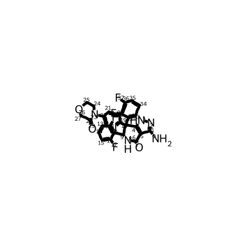 Nc1n[nH]c2c1C(=O)NC(c1c(F)cccc1F)C2(c1ccc(N2CCOCC2=O)cn1)c1cccc(F)c1F